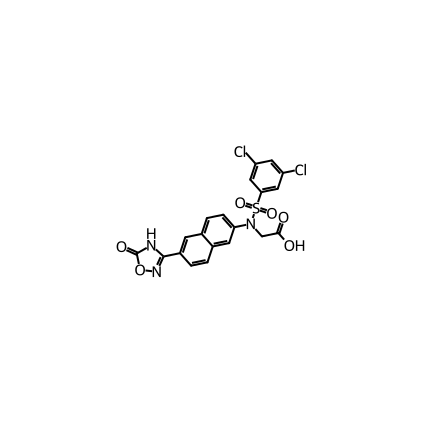 O=C(O)CN(c1ccc2cc(-c3noc(=O)[nH]3)ccc2c1)S(=O)(=O)c1cc(Cl)cc(Cl)c1